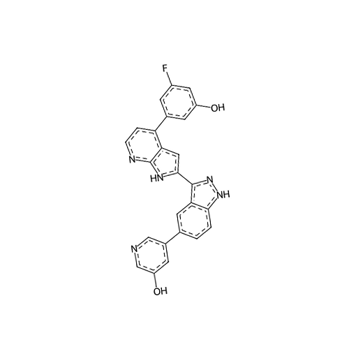 Oc1cncc(-c2ccc3[nH]nc(-c4cc5c(-c6cc(O)cc(F)c6)ccnc5[nH]4)c3c2)c1